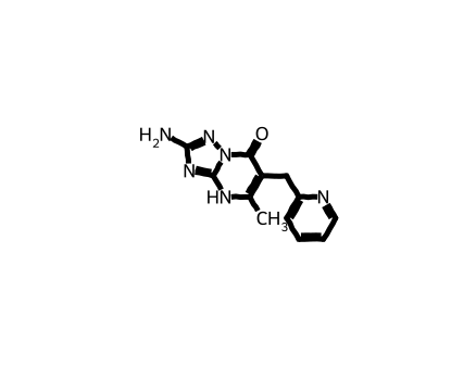 Cc1[nH]c2nc(N)nn2c(=O)c1Cc1ccccn1